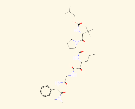 CCC[C@H](NC(=O)[C@@H]1CC[C@H](C)N1C(=O)[C@@H](NC(=O)OCC(C)C)C(C)(C)C)C(=O)C(=O)NCC(=O)N[C@H](C(=O)N(C)C)c1ccccc1